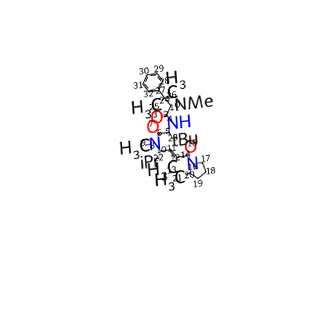 CN[C@H](C(=O)N[C@H](C(=O)N(C)[C@H](/C=C(\C)C(=O)N1CCC[C@H]1C)C(C)C)C(C)(C)C)C(C)(C)c1ccccc1